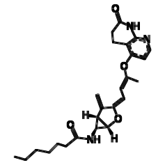 C=C1/C(=C\C=C(/C)Oc2ccnc3c2CCC(=O)N3)O[C@@H]2[C@@H](NC(=O)CCCCCC)[C@H]12